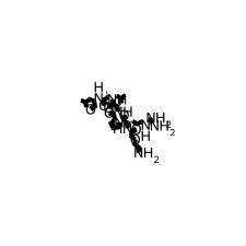 CC(C)CC(C=O)NC(=O)[C@H](C)NC(=O)[C@H](CC(C)C)NC(=O)C1CCCN1C(=O)[C@H](CCCNC(N)N)NC(=O)COCCN